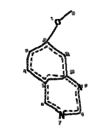 COc1ccc2cn[c]nc2c1